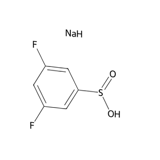 O=S(O)c1cc(F)cc(F)c1.[NaH]